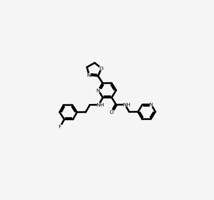 O=C(NCc1cccnc1)c1ccc(C2=NCCO2)nc1NCCc1cccc(F)c1